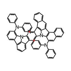 c1ccc(N(c2ccccc2)c2cc3ccccc3c3c4cc5ccccc5c5c6nc7c(cc6n(c23)c45)c2cccc3c4cccc(N(c5ccccc5)c5ccccc5)c4n7c23)cc1